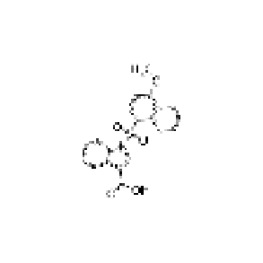 COc1ccc(S(=O)(=O)n2cc(C(=O)O)c3ccccc32)c2ccccc12